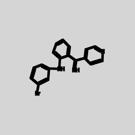 N=C(c1ccncc1)c1ccccc1Nc1cccc(Br)c1